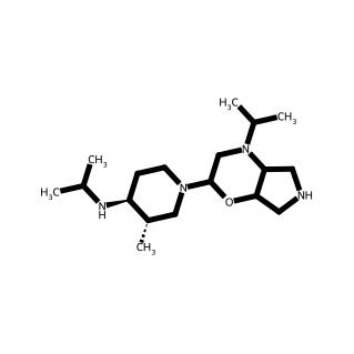 CC(C)N[C@H]1CCN(C2CN(C(C)C)C3CNCC3O2)C[C@@H]1C